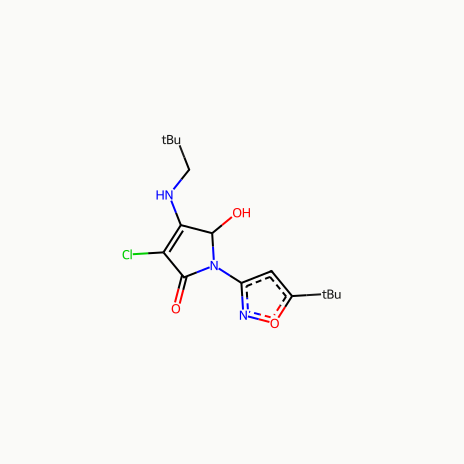 CC(C)(C)CNC1=C(Cl)C(=O)N(c2cc(C(C)(C)C)on2)C1O